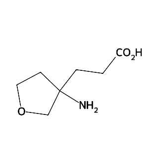 NC1(CCC(=O)O)CCOC1